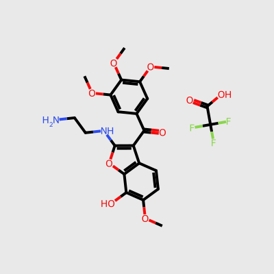 COc1cc(C(=O)c2c(NCCN)oc3c(O)c(OC)ccc23)cc(OC)c1OC.O=C(O)C(F)(F)F